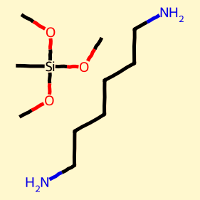 CO[Si](C)(OC)OC.NCCCCCCN